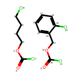 O=C(Cl)OCCCCCl.O=C(Cl)OCc1ccccc1Cl